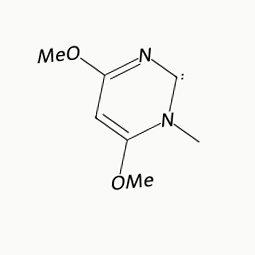 COC1=CC(OC)=N[C]N1C